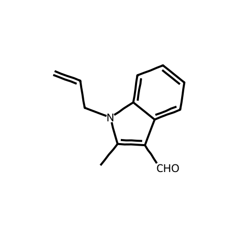 C=CCn1c(C)c(C=O)c2ccccc21